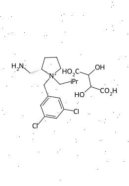 CC(C)C[N+]1(Cc2cc(Cl)cc(Cl)c2)CCC[C@H]1CN.O=C(O)C(O)C(O)C(=O)O